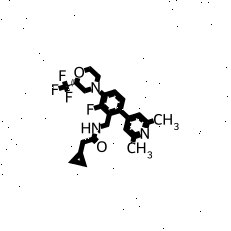 Cc1cc(-c2ccc(N3CCO[C@@H](C(F)(F)F)C3)c(F)c2CNC(=O)CC2CC2)cc(C)n1